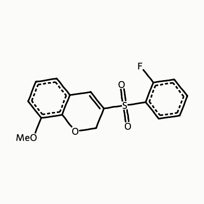 COc1cccc2c1OCC(S(=O)(=O)c1ccccc1F)=C2